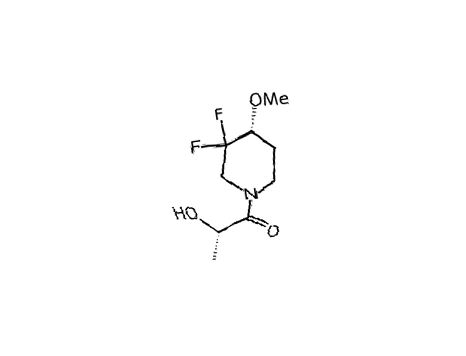 CO[C@@H]1CCN(C(=O)[C@H](C)O)CC1(F)F